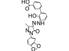 CC1=NN(c2ccc3c(c2)OCO3)C(=O)C1=NNc1cccc(-c2cccc(C(=O)O)c2)c1O